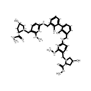 COC(=O)[C@@H]1C[C@H](O)CN1Cc1ccc(OCc2cccc(-c3cccc(COc4ccc(CN5C[C@@H](O)C[C@H]5C(=O)OC)c(OC)n4)c3Cl)c2Cl)nc1OC